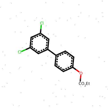 CCOC(=O)Oc1ccc(-c2cc(Cl)cc(Cl)c2)cc1